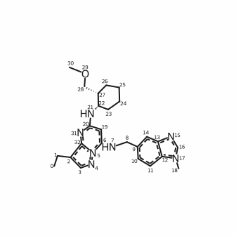 CCc1cnn2c(NCc3ccc4c(c3)ncn4C)cc(N[C@H]3CCCC[C@H]3COC)nc12